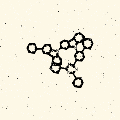 c1ccc(-c2ccc3c(c2)c2ccccc2n3-c2ccc3c4ccccc4n(-c4cc(-c5nc(-c6ccccc6)nc(-c6ccccc6)n5)ccc4-c4ccccc4)c3c2)cc1